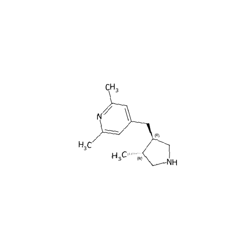 Cc1cc(C[C@H]2CNC[C@@H]2C)cc(C)n1